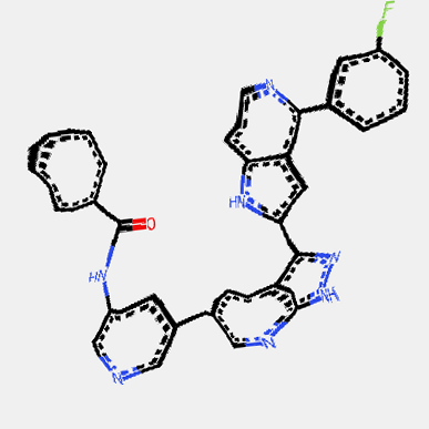 O=C(Nc1cncc(-c2cnc3[nH]nc(-c4cc5c(-c6cccc(F)c6)nccc5[nH]4)c3c2)c1)c1ccccc1